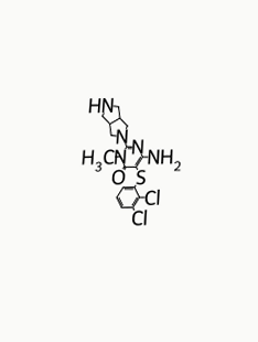 Cn1c(N2CC3CNCC3C2)nc(N)c(Sc2cccc(Cl)c2Cl)c1=O